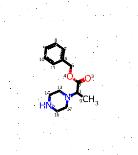 CC(C(=O)OCc1ccccc1)N1CCNCC1